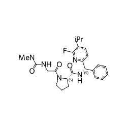 CNC(=O)NCC(=O)N1CCC[C@H]1C(=O)N[C@@H](c1ccccc1)c1ccc(C(C)C)c(F)n1